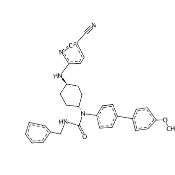 COc1ccc(-c2ccc(N(C(=O)NCc3ccccc3)[C@H]3CC[C@H](Nc4ccc(C#N)cn4)CC3)cc2)cc1